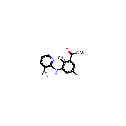 CNC(=O)c1cc(F)cc(Nc2ncccc2C(F)(F)F)c1C